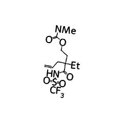 C=CCC(CC)(CCOC(=O)NC)C(=O)NS(=O)(=O)C(F)(F)F